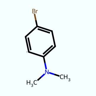 CN(C)c1[c]cc(Br)cc1